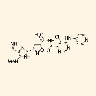 CNc1[nH]c(-c2cc([C@@H](C)NC(=O)c3ncnc(Nc4ccncc4)c3Cl)on2)nc1C=N